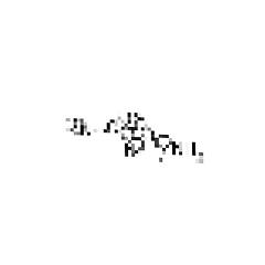 CCc1cc(Oc2ccnc3cc(OCCCN4CCOCC4)c4c(c23)OCCO4)ccc1N